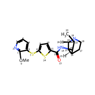 COc1ncccc1Sc1ccc(C(=O)N[C@@H]2C3CCN(CC3)[C@H]2C)s1